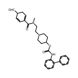 CN(CCN1CCC(OC(=O)Nc2ccccc2-c2ccccc2)CC1)C(=O)C1=CCC(C=O)C=C1